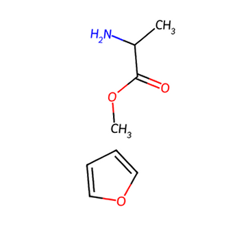 COC(=O)C(C)N.c1ccoc1